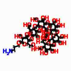 NCCCO[C@H]1OC(CO)[C@@H](O[C@@H]2OC(CO)[C@@H](O[C@H]3OC(CO)[C@H](O[C@H]4OC(CO)[C@@H](O[C@@H]5OC(CO)[C@@H](O[C@H]6OC(CO)[C@H](O)[C@H](O)C6O)[C@H](O)C5O)[C@H](O)C4O)[C@H](O)C3O)[C@H](O)C2O)[C@H](O)C1O